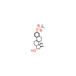 C=C1C[C@H](O)[C@@]2(C)CCC3=C(CCc4cc(OS(=O)(=O)N(C)C)ccc43)[C@H]12